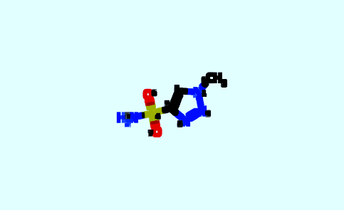 Cn1cc(S(N)(=O)=O)nn1